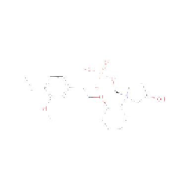 COc1ccc(CCO[C@@H]2CCCC[C@H]2[N@+]2(COP(=O)(O)O)CC[C@H](O)C2)cc1OC